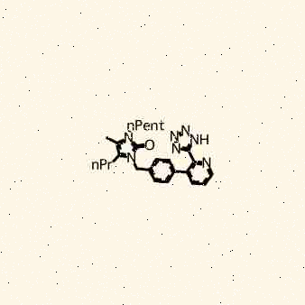 CCCCCn1c(C)c(CCC)n(Cc2ccc(-c3cccnc3-c3nnn[nH]3)cc2)c1=O